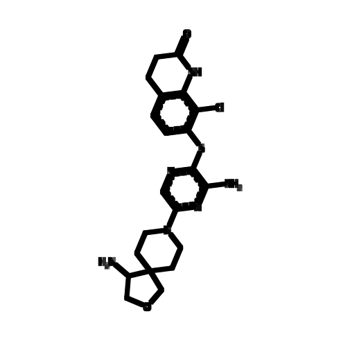 Nc1nc(N2CCC3(CC2)COCC3N)cnc1Sc1ccc2c(c1Cl)NC(=O)CC2